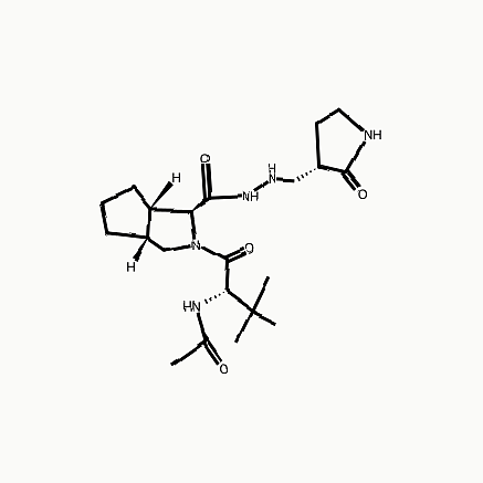 CC(=O)N[C@H](C(=O)N1C[C@@H]2CCC[C@@H]2[C@H]1C(=O)NNC[C@@H]1CCNC1=O)C(C)(C)C